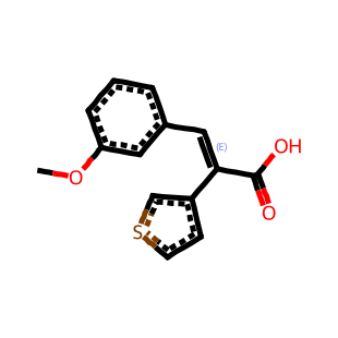 COc1cccc(/C=C(/C(=O)O)c2ccsc2)c1